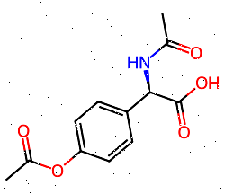 CC(=O)N[C@@H](C(=O)O)c1ccc(OC(C)=O)cc1